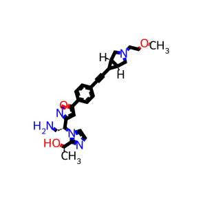 COCCN1C[C@@H]2C(C#Cc3ccc(-c4cc([C@@H](CN)n5ccnc5[C@H](C)O)no4)cc3)[C@@H]2C1